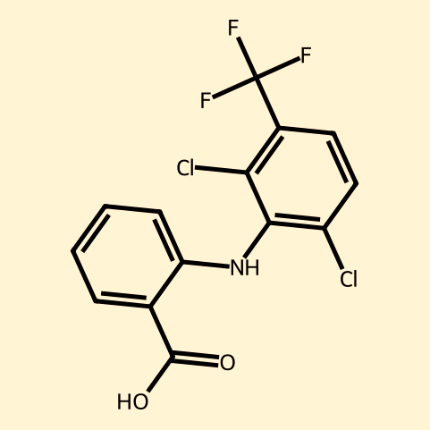 O=C(O)c1ccccc1Nc1c(Cl)ccc(C(F)(F)F)c1Cl